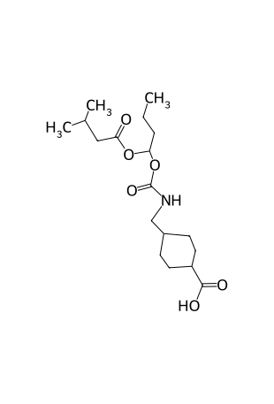 CCCC(OC(=O)CC(C)C)OC(=O)NCC1CCC(C(=O)O)CC1